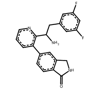 NC(Cc1cc(F)cc(F)c1)c1ncccc1-c1ccc2c(c1)CNC2=O